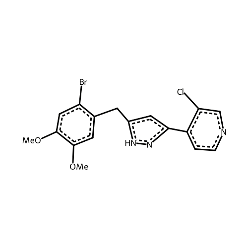 COc1cc(Br)c(Cc2cc(-c3ccncc3Cl)n[nH]2)cc1OC